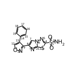 NS(=O)(=O)c1nn2cc(-c3nocc3-c3ccccc3)nc2s1